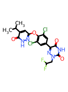 CC(C)c1cc(Oc2c(Cl)cc(-c3nn(CC(F)F)c(=O)[nH]c3=O)cc2Cl)n[nH]c1=O